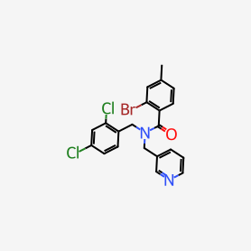 Cc1ccc(C(=O)N(Cc2cccnc2)Cc2ccc(Cl)cc2Cl)c(Br)c1